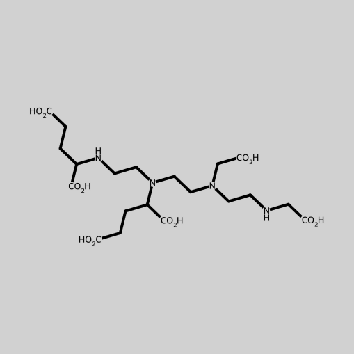 O=C(O)CCC(NCCN(CCN(CCNCC(=O)O)CC(=O)O)C(CCC(=O)O)C(=O)O)C(=O)O